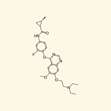 CCN(CC)CCOc1cc2ncnc(Oc3ccc(NC(=O)C4C[C@H]4C)cc3F)c2cc1OC